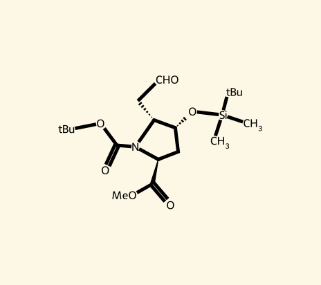 COC(=O)[C@@H]1C[C@@H](O[Si](C)(C)C(C)(C)C)[C@@H](CC=O)N1C(=O)OC(C)(C)C